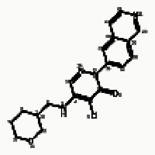 O=c1c(Cl)c(NC[C@@H]2CCCOC2)cnn1-c1ccc2cnccc2c1